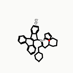 C1=CC[C]([Zr+2](=[C](CC2CCCCC2)CC2CCCCC2)[CH]2c3ccccc3-c3c2c2ccccc2c2ccccc32)=C1.[Cl-].[Cl-]